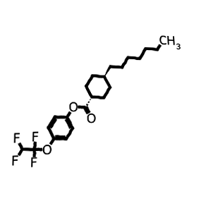 CCCCCCC[C@H]1CC[C@H](C(=O)Oc2ccc(OC(F)(F)C(F)F)cc2)CC1